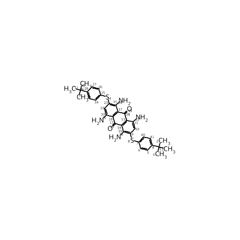 CC(C)(C)c1ccc(Sc2cc(N)c3c(c2N)C(=O)c2c(N)cc(Sc4ccc(C(C)(C)C)cc4)c(N)c2C3=O)cc1